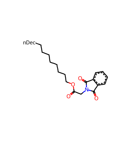 CCCCCCCCCCCCCCCCCCOC(=O)CN1C(=O)c2ccccc2C1=O